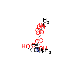 CC(=O)CC(OC(=O)CCC(=O)OC1=CC[C@@]2(O)[C@H]3Cc4ccc(CO)c5c4[C@@]2(CCN3C)[C@H]1O5)C(=O)O